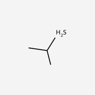 CC(C)C.S